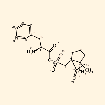 CC1(C)C2CCC1(CS(=O)(=O)OC(=O)[C@@H](N)Cc1cccnc1)C(=O)C2